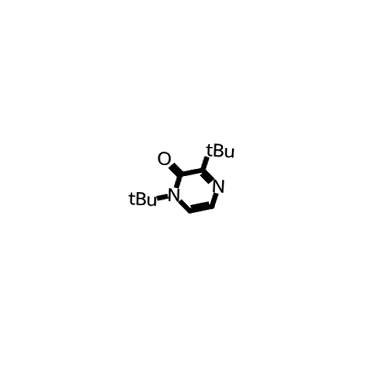 CC(C)(C)c1nccn(C(C)(C)C)c1=O